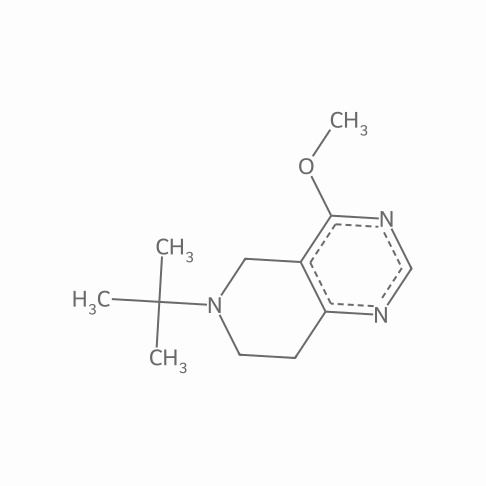 COc1ncnc2c1CN(C(C)(C)C)CC2